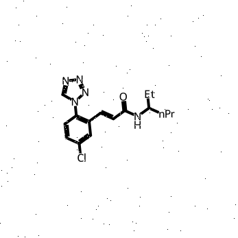 CCCC(CC)NC(=O)/C=C/c1cc(Cl)ccc1-n1cnnn1